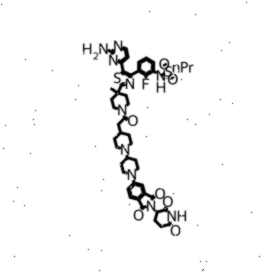 CCCS(=O)(=O)Nc1cccc(-c2nc(C3(C)CCN(C(=O)CC4CCN(C5CCN(c6ccc7c(c6)C(=O)N([C@@H]6CCC(=O)NC6=O)C7=O)CC5)CC4)CC3)sc2-c2ccnc(N)n2)c1F